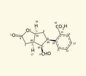 O=C[C@H]1[C@H]2CC(=O)O[C@H]2C[C@H]1c1ccccc1C(=O)O